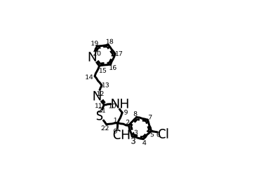 CC1(c2ccc(Cl)cc2)CNC(=NCCc2ccccn2)SC1